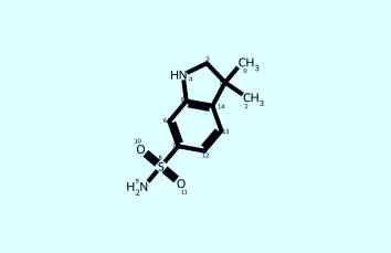 CC1(C)CNc2cc(S(N)(=O)=O)ccc21